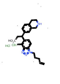 C=CCCCn1nnc2c(C)c(C(CC(=O)O)c3ccc4c(c3)CNCC4)ccc21.Cl.Cl